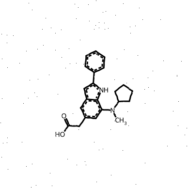 CN(c1cc(CC(=O)O)cc2cc(-c3ccccc3)[nH]c12)C1CCCC1